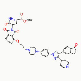 CC(C)(C)OC(=O)CCC(C(N)=O)N1C(=O)c2cccc(OCCCN3CCN(c4ccc(-n5cc(-c6ccc7c(c6)CCC7=O)c(-c6ccncc6)n5)cc4)CC3)c2C1=O